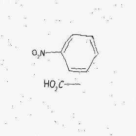 CC(=O)O.O=[N+]([O-])c1ccccc1